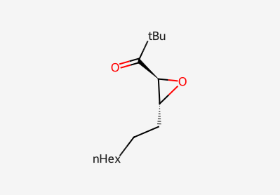 CCCCCCCC[C@H]1O[C@@H]1C(=O)C(C)(C)C